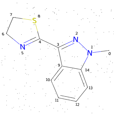 Cn1nc(C2=NCCS2)c2ccccc21